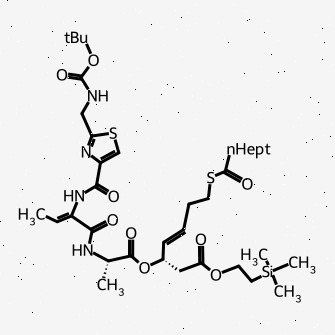 C/C=C(\NC(=O)c1csc(CNC(=O)OC(C)(C)C)n1)C(=O)N[C@@H](C)C(=O)O[C@H](/C=C/CCSC(=O)CCCCCCC)CC(=O)OCC[Si](C)(C)C